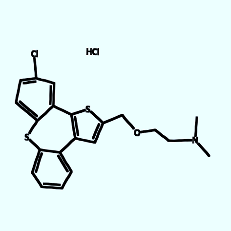 CN(C)CCOCc1cc2c(s1)-c1cc(Cl)ccc1Sc1ccccc1-2.Cl